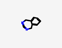 C1=NCc2ccccc2CN=1